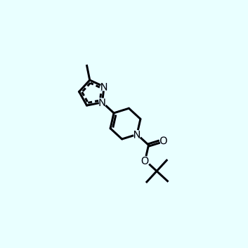 Cc1ccn(C2=CCN(C(=O)OC(C)(C)C)CC2)n1